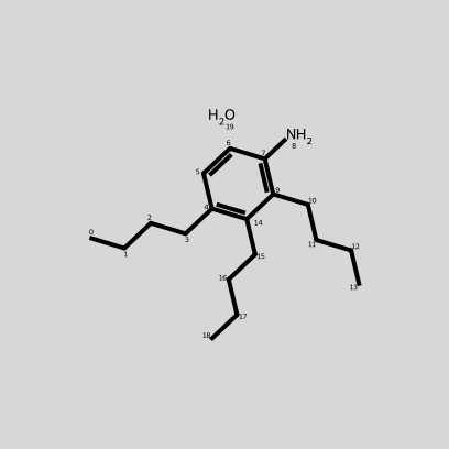 CCCCc1ccc(N)c(CCCC)c1CCCC.O